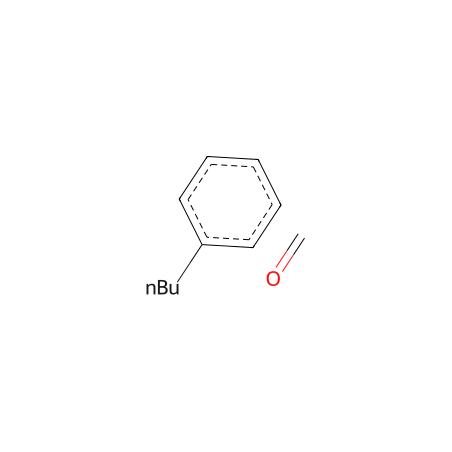 C=O.CCCCc1ccccc1